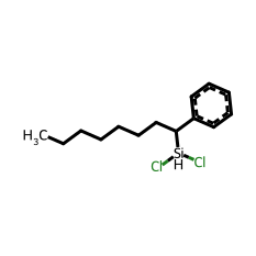 CCCCCCCC(c1ccccc1)[SiH](Cl)Cl